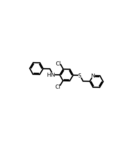 Clc1cc(SCc2ccccn2)cc(Cl)c1NCc1ccccc1